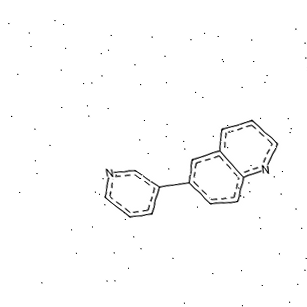 c1cncc(-c2ccc3ncccc3c2)c1